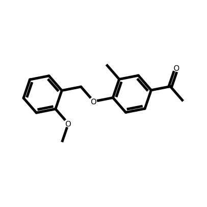 COc1ccccc1COc1ccc(C(C)=O)cc1C